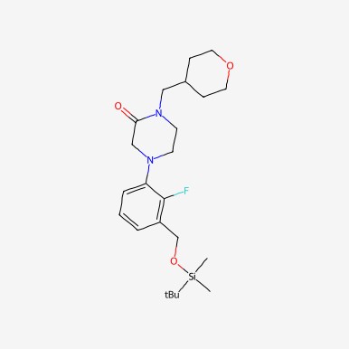 CC(C)(C)[Si](C)(C)OCc1cccc(N2CCN(CC3CCOCC3)C(=O)C2)c1F